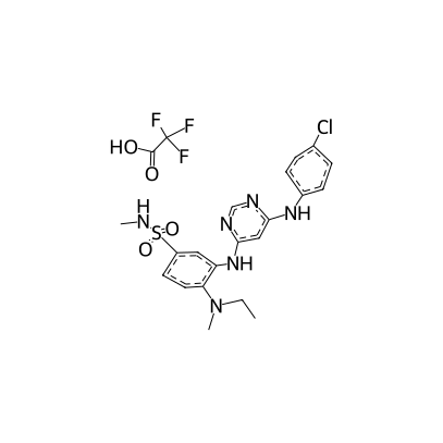 CCN(C)c1ccc(S(=O)(=O)NC)cc1Nc1cc(Nc2ccc(Cl)cc2)ncn1.O=C(O)C(F)(F)F